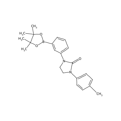 Cc1ccc(N2CCN(c3cccc(B4OC(C)(C)C(C)(C)O4)c3)C2=O)cc1